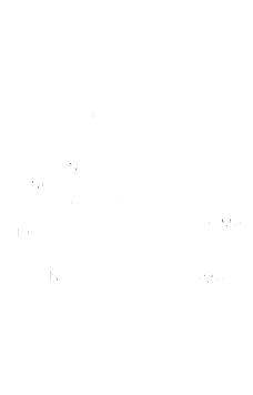 COc1cc2cc(C(C#N)(C(C)CC#N)N3CCOCC3)sc2cc1OC